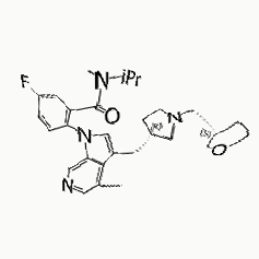 Cc1cncc2c1c(C[C@@H]1CCN(C[C@@H]3CCOC3)C1)cn2-c1ccc(F)cc1C(=O)N(C)C(C)C